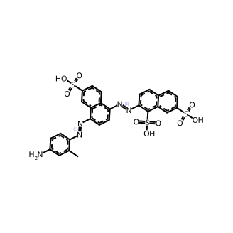 Cc1cc(N)ccc1/N=N/c1ccc(/N=N/c2ccc3ccc(S(=O)(=O)O)cc3c2S(=O)(=O)O)c2ccc(S(=O)(=O)O)cc12